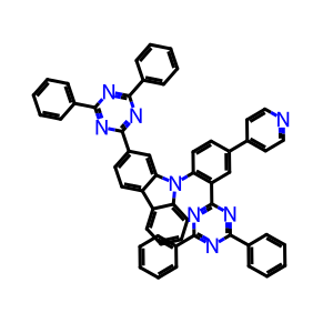 c1ccc(-c2nc(-c3ccccc3)nc(-c3ccc4c5ccccc5n(-c5ccc(-c6ccncc6)cc5-c5nc(-c6ccccc6)nc(-c6ccccc6)n5)c4c3)n2)cc1